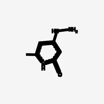 Cc1cc(NN)cc(=O)[nH]1